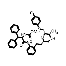 COC(=O)NC(C(=O)Nc1ccccc1CC[C@@H]1CN[C@H](C)[C@@H](CSc2ccc(Cl)cc2)O1)C(c1ccccc1)c1ccccc1